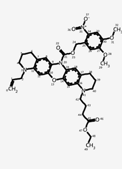 C=CCN1CCCc2cc3c(cc21)Oc1cc2c(cc1N3C(=O)OCc1cc(OC)c(OC)cc1[N+](=O)[O-])CCCN2CCCC(=O)OCC